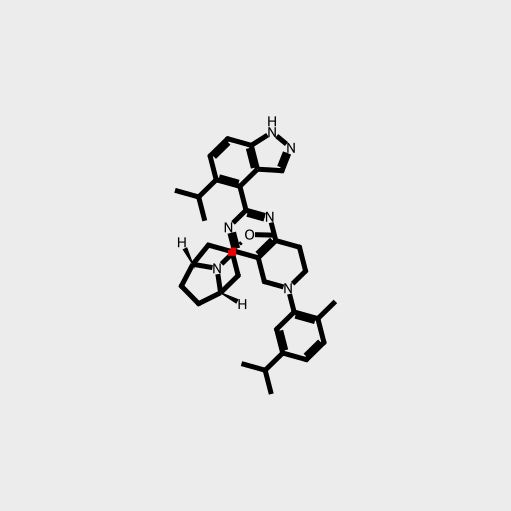 CO[C@H]1C[C@H]2CC[C@@H](C1)N2c1nc(-c2c(C(C)C)ccc3[nH]ncc23)nc2c1CN(c1cc(C(C)C)ccc1C)CC2